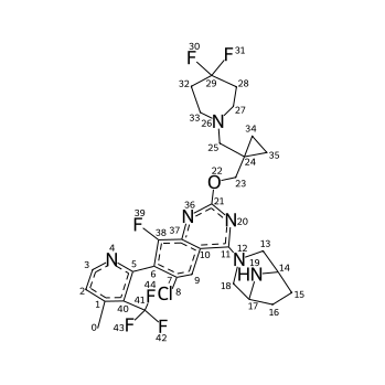 Cc1ccnc(-c2c(Cl)cc3c(N4CC5CCC(C4)N5)nc(OCC4(CN5CCC(F)(F)CC5)CC4)nc3c2F)c1C(F)(F)F